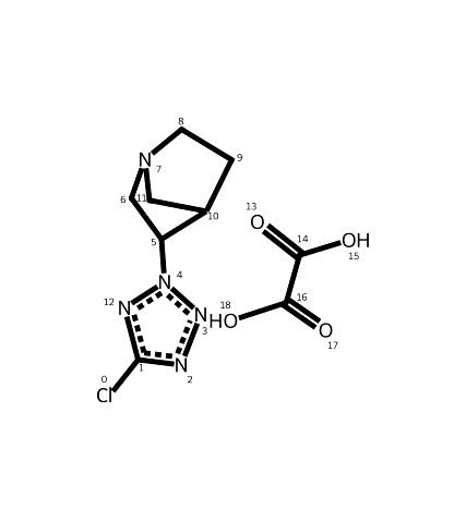 Clc1nnn(C2CN3CCC2C3)n1.O=C(O)C(=O)O